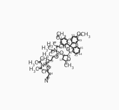 COc1ccc(C(OC[C@H]2O[C@@H](C)CC2OP(OCCOP(OCCC#N)N(C(C)C)C(C)C)N(C(C)C)C(C)C)(c2ccccc2)c2ccc(OC)cc2)cc1